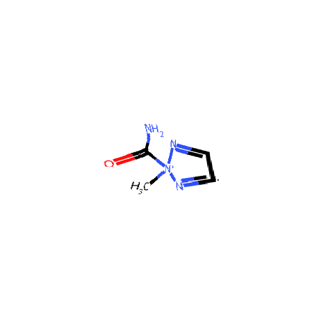 C[N+]1(C(N)=O)N=[C]C=N1